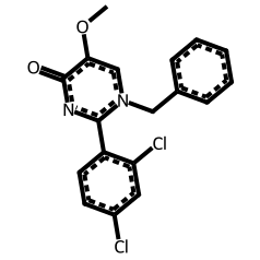 COc1cn(Cc2ccccc2)c(-c2ccc(Cl)cc2Cl)nc1=O